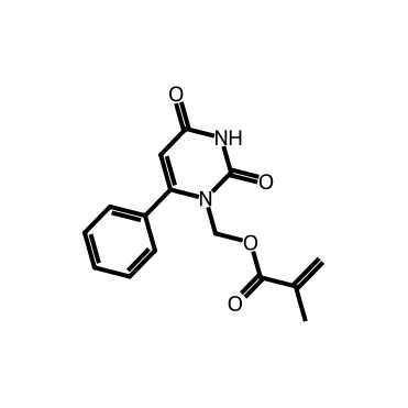 C=C(C)C(=O)OCn1c(-c2ccccc2)cc(=O)[nH]c1=O